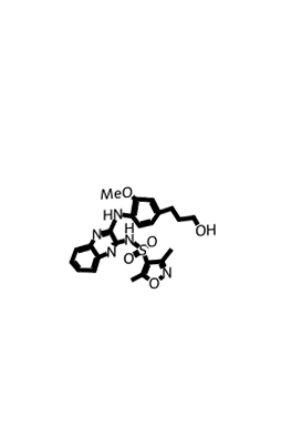 COc1cc(CCCO)ccc1Nc1nc2ccccc2nc1NS(=O)(=O)c1c(C)noc1C